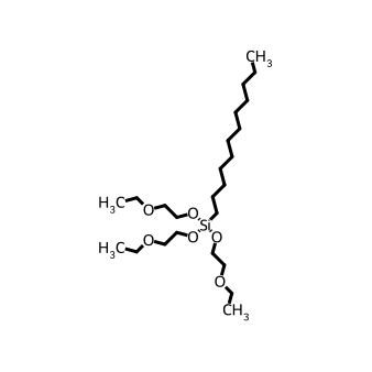 CCCCCCCCCCCC[Si](OCCOCC)(OCCOCC)OCCOCC